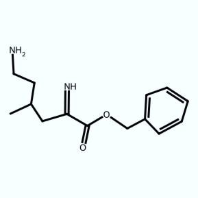 CC(CCN)CC(=N)C(=O)OCc1ccccc1